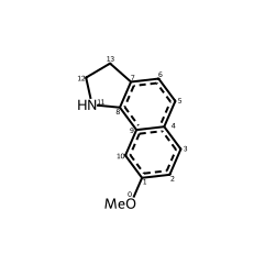 COc1ccc2ccc3c(c2c1)NCC3